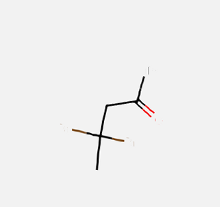 CC(C)C(=O)CC(C)(Br)Br